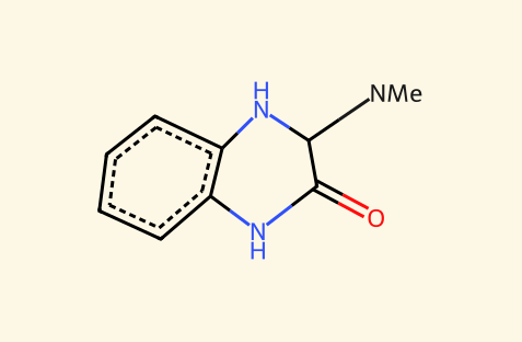 CNC1Nc2ccccc2NC1=O